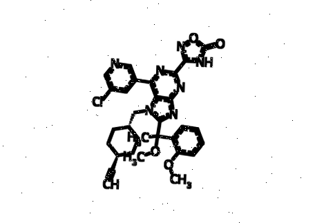 C#C[C@H]1CC[C@H](Cn2c(C(C)(OC)c3ccccc3OC)nc3nc(-c4noc(=O)[nH]4)nc(-c4cncc(Cl)c4)c32)CC1